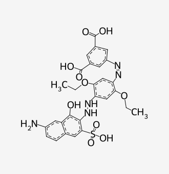 CCOc1cc(NNc2c(S(=O)(=O)O)cc3ccc(N)cc3c2O)c(OCC)cc1/N=N\c1cc(C(=O)O)cc(C(=O)O)c1